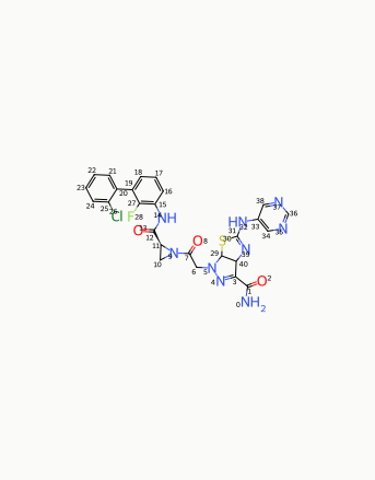 NC(=O)C1=NN(CC(=O)N2C[C@H]2C(=O)Nc2cccc(-c3ccccc3Cl)c2F)C2SC(Nc3cncnc3)=NC12